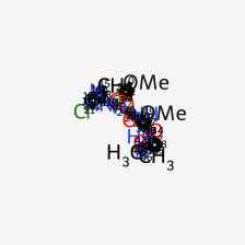 COc1ccc(S(=O)(=O)N(CCNc2cc(C)nc3ccc(Cl)cc23)CCC(=O)Nc2ccc(C(=O)Nc3ccccc3C(=O)N(C)C)cc2OC)cc1